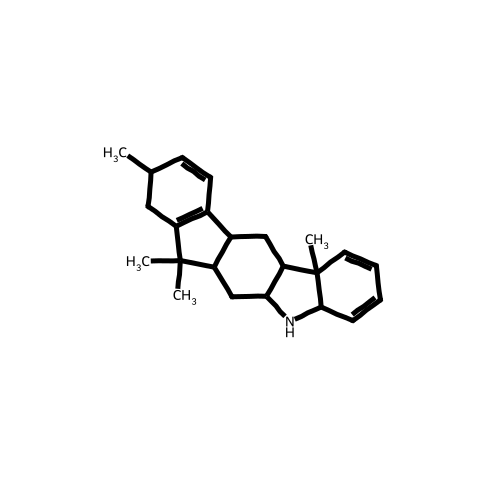 CC1C=CC2=C(C1)C(C)(C)C1CC3NC4C=CC=CC4(C)C3CC21